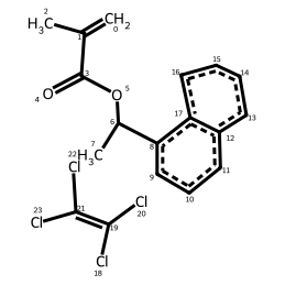 C=C(C)C(=O)OC(C)c1cccc2ccccc12.ClC(Cl)=C(Cl)Cl